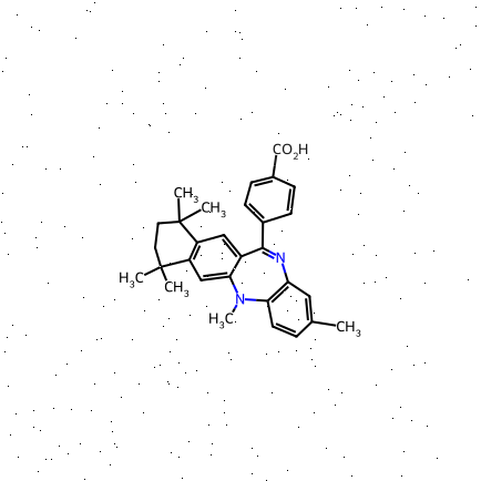 Cc1ccc2c(c1)N=C(c1ccc(C(=O)O)cc1)c1cc3c(cc1N2C)C(C)(C)CCC3(C)C